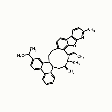 C=C1CC2C(CCc3ccc4c(oc5nc(C)ccc54)c3/C(=C/C)N1C)c1cc(C(C)C)ccc1-c1cccc[n+]12